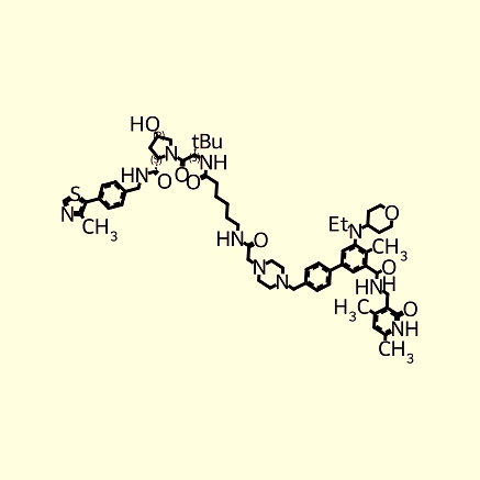 CCN(c1cc(-c2ccc(CN3CCN(CC(=O)NCCCCCC(=O)N[C@H](C(=O)N4C[C@H](O)C[C@H]4C(=O)NCc4ccc(-c5scnc5C)cc4)C(C)(C)C)CC3)cc2)cc(C(O)NCc2c(C)cc(C)[nH]c2=O)c1C)C1CCOCC1